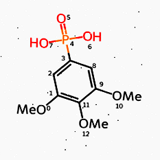 COc1cc(P(=O)(O)O)cc(OC)c1OC